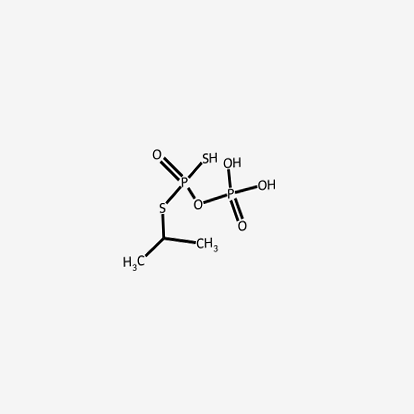 CC(C)SP(=O)(S)OP(=O)(O)O